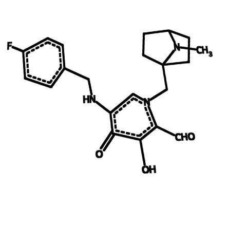 CN1C2CCC1(Cn1cc(NCc3ccc(F)cc3)c(=O)c(O)c1C=O)CC2